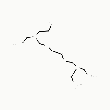 COCN(CCO)COCCOCN(COC)COC